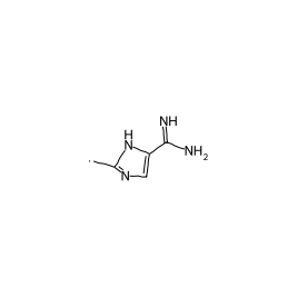 [CH2]c1ncc(C(=N)N)[nH]1